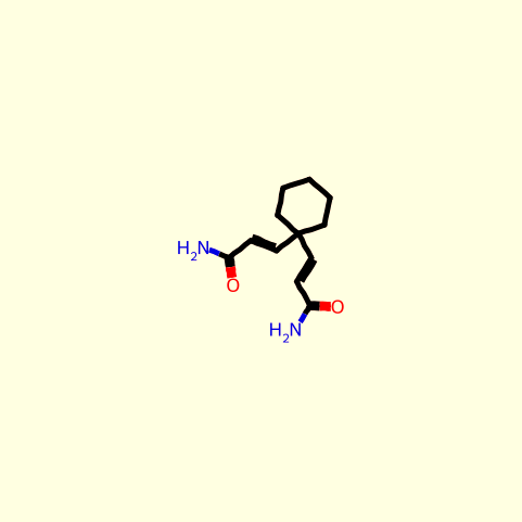 NC(=O)C=CC1(C=CC(N)=O)CCCCC1